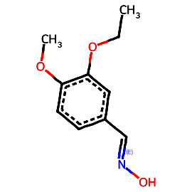 CCOc1cc(/C=N/O)ccc1OC